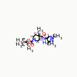 Cc1nn(C)cc1NC(=O)C1(C)CCN(C(=O)OC(C)(C)C)CC1